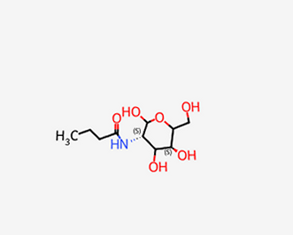 CCCC(=O)N[C@@H]1C(O)OC(CO)[C@@H](O)C1O